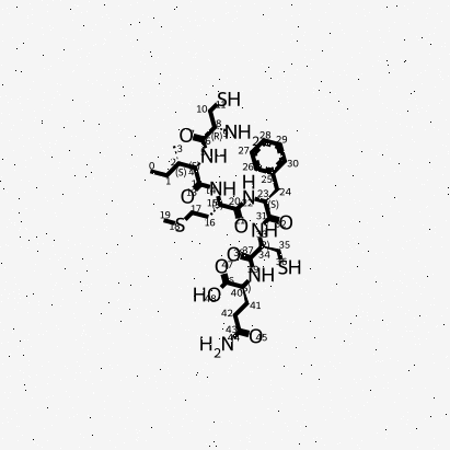 CC[C@H](C)[C@H](NC(=O)[C@@H](N)CS)C(=O)N[C@@H](CCSC)C(=O)N[C@@H](Cc1ccccc1)C(=O)N[C@@H](CS)C(=O)N[C@@H](CCC(N)=O)C(=O)O